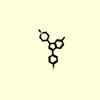 Cc1ccc2c(c1)C(C1CCN(C)CC1)C=C2c1ccc(F)cc1